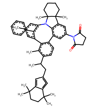 Cc1cc2c(-c3ccccc3)c(c1)N1c3c(cc(N4C(=O)CCC4=O)cc3C3(C)CCCCC13C)-c1ccc(C(C)CC3=C=C4C(=C3)C(C)(C)CCC4(C)C)c(C)c1-2